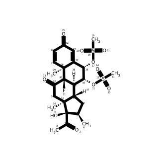 CC(=O)[C@@]1(O)[C@H](C)C[C@H]2[C@@H]3[C@@H](OS(C)(=O)=O)[C@@H](OS(C)(=O)=O)C4=CC(=O)C=C[C@]4(C)[C@@]3(F)C(=O)C[C@@]21C